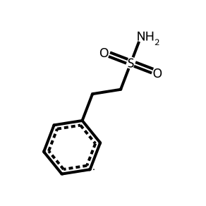 NS(=O)(=O)CCc1c[c]ccc1